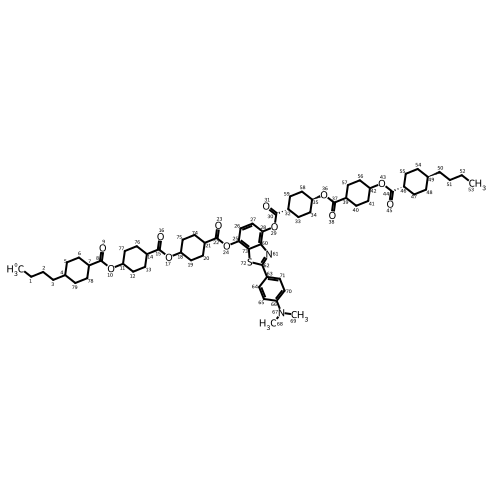 CCCCC1CCC(C(=O)OC2CCC(C(=O)OC3CCC(C(=O)Oc4ccc(OC(=O)[C@H]5CC[C@H](OC(=O)C6CCC(OC(=O)[C@H]7CC[C@H](CCCC)CC7)CC6)CC5)c5nc(-c6ccc(N(C)C)cc6)sc45)CC3)CC2)CC1